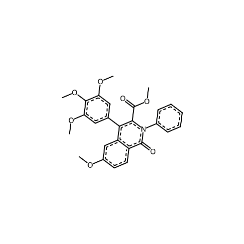 COC(=O)c1c(-c2cc(OC)c(OC)c(OC)c2)c2cc(OC)ccc2c(=O)n1-c1ccccc1